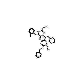 Cc1ccccc1C[C@H](NC(=O)OC(C)(C)C)C(=O)N[C@@H](CC1CCCCC1)C(=O)N[C@@H](CC(C)C)C(=O)OCc1ccccc1